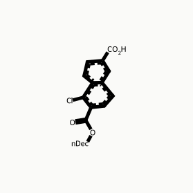 CCCCCCCCCCOC(=O)c1ccc2cc(C(=O)O)ccc2c1Cl